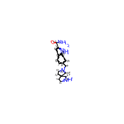 NC(=O)c1cc2ccc(CN3CCC4(CCNC4)C3)cc2[nH]1